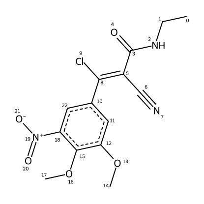 CCNC(=O)/C(C#N)=C(\Cl)c1cc(OC)c(OC)c([N+](=O)[O-])c1